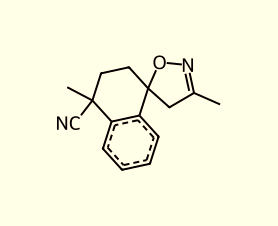 CC1=NOC2(CCC(C)(C#N)c3ccccc32)C1